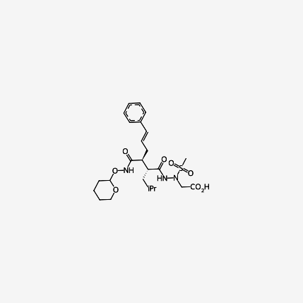 CC(C)C[C@@H](C(=O)NN(CC(=O)O)S(C)(=O)=O)[C@H](C/C=C/c1ccccc1)C(=O)NOC1CCCCO1